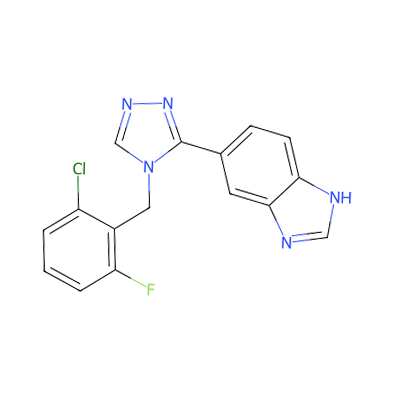 Fc1cccc(Cl)c1Cn1cnnc1-c1ccc2[nH]cnc2c1